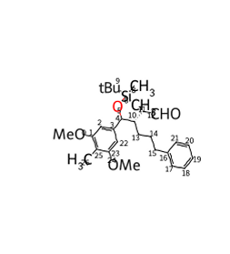 COc1cc(C(O[Si](C)(C)C(C)(C)C)[C@H](CC=O)CCCc2ccccc2)cc(OC)c1C